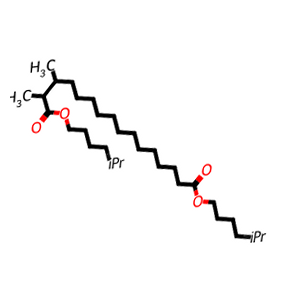 CC(C)CCCCOC(=O)CCCCCCCCCCCCC(C)C(C)C(=O)OCCCCC(C)C